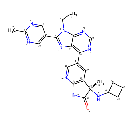 CCn1c(-c2cnc(C)nc2)nc2c(-c3cnc4c(c3)[C@](C)(NC3CCC3)C(=O)N4)ncnc21